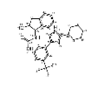 FC(F)(F)c1cccc(-c2c[nH]c(C3CCCCC3)n2)c1.O=C(O)NC1c2ccccc2CC1O